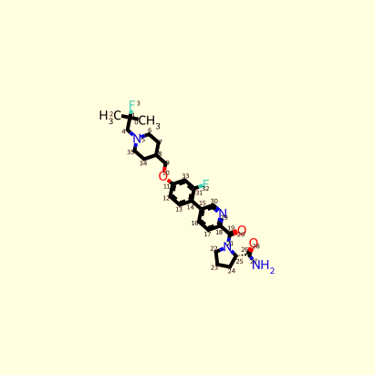 CC(C)(F)CN1CCC(COc2ccc(-c3ccc(C(=O)N4CCC[C@H]4C(N)=O)nc3)c(F)c2)CC1